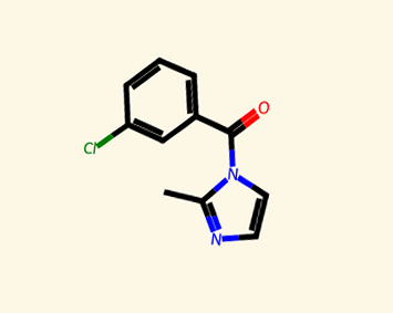 Cc1nccn1C(=O)c1cccc(Cl)c1